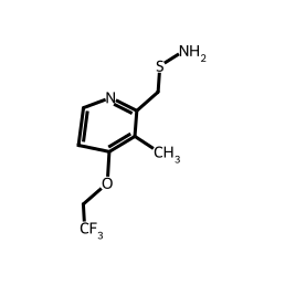 Cc1c(OCC(F)(F)F)ccnc1CSN